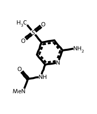 CNC(=O)Nc1cc(S(C)(=O)=O)cc(N)n1